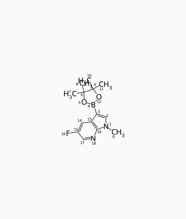 Cn1cc(B2OC(C)(C)C(C)(C)O2)c2cc(F)cnc21